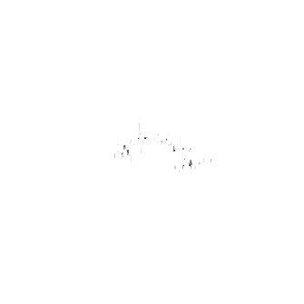 Cc1ccc(N(C)C(=O)c2ccc(NC(=O)Cc3ccc(C(F)(F)C(C)OC(=O)CCc4ccccc4NC(=O)OCc4ccccc4)cc3)cc2)c(Cl)c1